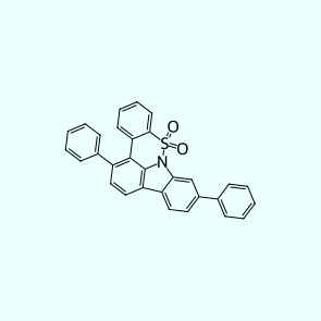 O=S1(=O)c2ccccc2-c2c(-c3ccccc3)ccc3c4ccc(-c5ccccc5)cc4n1c23